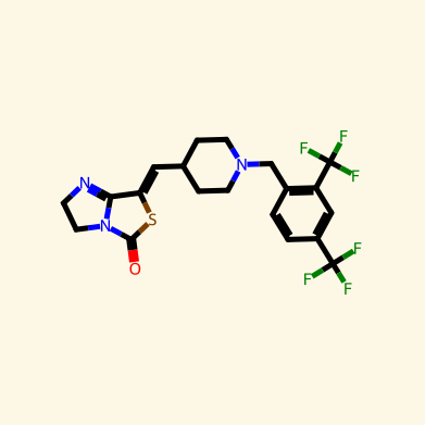 O=c1s/c(=C\C2CCN(Cc3ccc(C(F)(F)F)cc3C(F)(F)F)CC2)c2n1CCN=2